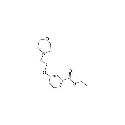 CCOC(=O)c1cccc(OCCN2CCOCC2)c1